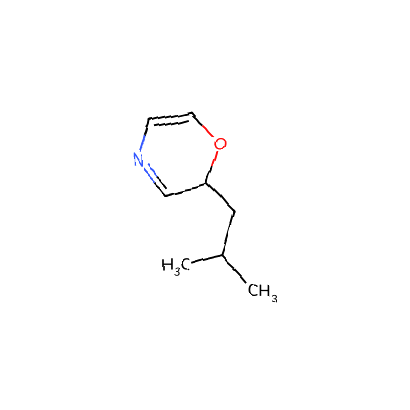 CC(C)CC1C=NC=CO1